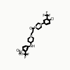 O=C(CCN1CCC(Nc2ccc([N+](=O)[O-])c(C(F)(F)F)c2)CC1)N1CCN(c2ccc(Cl)c(C(F)(F)F)c2)CC1